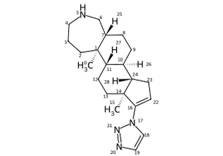 C[C@]12CCCNC[C@@H]1CC[C@@H]1[C@@H]2CC[C@]2(C)C(n3ccnn3)=CC[C@@H]12